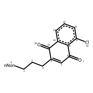 CCCCCCCCCCCCC1=CC(=O)c2c(Cl)cccc2C1=O